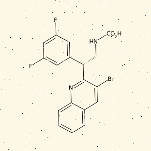 O=C(O)NC[C@@H](c1cc(F)cc(F)c1)c1nc2ccccc2cc1Br